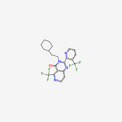 O=c1c2c(C(F)(F)F)nccc2nc(-c2ncccc2C(F)(F)F)n1CCC1CCCCC1